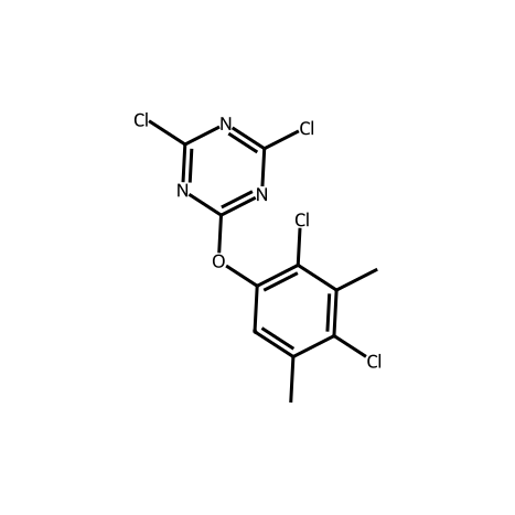 Cc1cc(Oc2nc(Cl)nc(Cl)n2)c(Cl)c(C)c1Cl